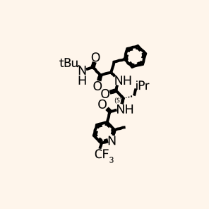 Cc1nc(C(F)(F)F)ccc1C(=O)N[C@@H](CC(C)C)C(=O)NC(Cc1ccccc1)C(=O)C(=O)NC(C)(C)C